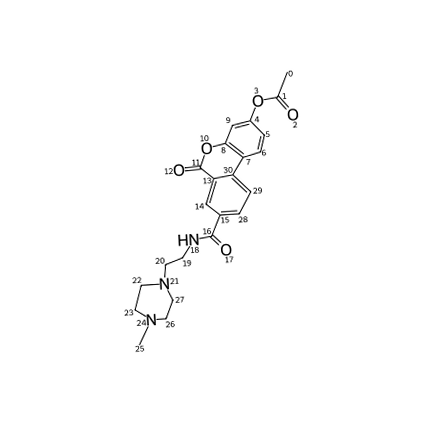 CC(=O)Oc1ccc2c(c1)oc(=O)c1cc(C(=O)NCCN3CCN(C)CC3)ccc12